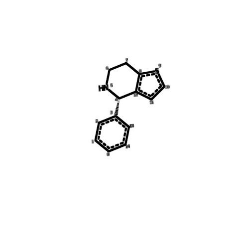 c1ccc([C@@H]2NCCc3sccc32)cc1